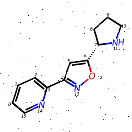 c1ccc(-c2cc([C@@H]3CCCN3)on2)nc1